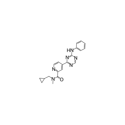 CN(CC1CC1)C(=O)c1cc(-c2ncnc(Nc3ccccc3)n2)ccn1